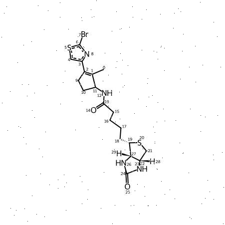 CC1=C(c2csc(Br)n2)CCC1NC(=O)CCCC[C@@H]1SC[C@@H]2NC(=O)N[C@@H]21